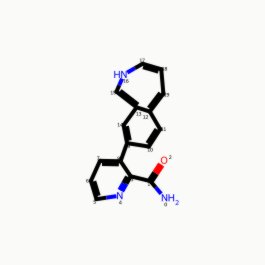 NC(=O)c1ncccc1-c1ccc2c(c1)=CNC=CC=2